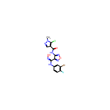 Cn1ncc(C(=O)Nc2nonc2/C(=N\O)Nc2ccc(F)c(Br)c2)c1Cl